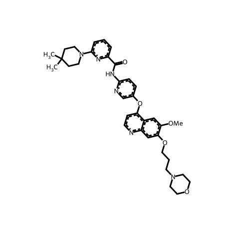 COc1cc2c(Oc3ccc(NC(=O)c4cccc(N5CCC(C)(C)CC5)n4)nc3)ccnc2cc1OCCCN1CCOCC1